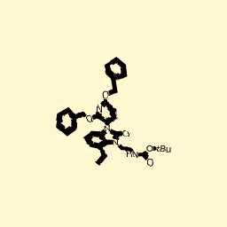 C=Cc1cccc2c1n(CCNC(=O)OC(C)(C)C)c(=O)n2-c1ccc(OCc2ccccc2)nc1OCc1ccccc1